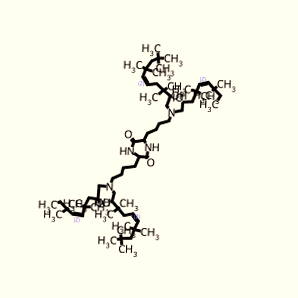 CCC(C)(C)/C=C\C(C)(C)CC(O)CN(CCCCC1NC(=O)C(CCCCN(CC(O)CC(C)(C)/C=C\C(C)(C)CC)CC(O)C(C)(C)C/C=C\C(C)(C)CC(C)(C)C)NC1=O)CC(O)C(C)(C)C/C=C\C(C)(C)CC(C)(C)C